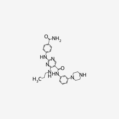 CCCNc1nc(Nc2ccc(C(N)=O)cc2)ncc1C(=O)Nc1cccc(N2CCNCC2)c1